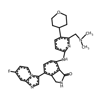 CN(C)Cc1nc(Nc2ccc(-c3cnc4cc(F)ccn34)c3c2C(=O)NC3)ccc1C1CCOCC1